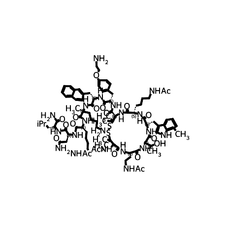 CC(=O)NCCCC[C@@H]1NC(=O)[C@H](Cc2c[nH]c3c(C)cccc23)NC(=O)[C@H]([C@@H](C)O)NC(=O)[C@H](CCNC(C)=O)NC(=O)[C@@H](NC(C)=O)C(C)(C)SSC(C)(C)[C@@H](C(=O)N[C@@H](Cc2ccc(OCCN)cc2)C(=O)N[C@@H](Cc2ccc3ccccc3c2)C(=O)N[C@@](C)(CCCCN)C(=O)N[C@@H](CCCCNC(C)=O)C(=O)N[C@@H](CC(N)=O)C(=O)N[C@H](CC(C)C)C(N)=O)NC1=O